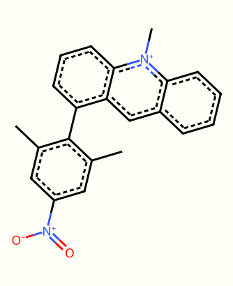 Cc1cc([N+](=O)[O-])cc(C)c1-c1cccc2c1cc1ccccc1[n+]2C